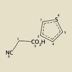 N#CCC(=O)O.c1ccsc1